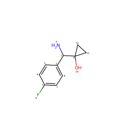 NC(c1ccc(F)cc1)C1(O)CC1